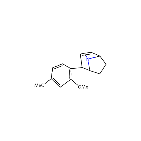 COc1ccc(C2C=CC3CCC2N3C)c(OC)c1